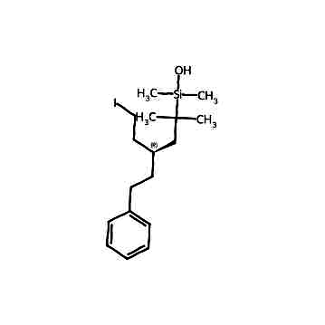 CC(C)(C[C@H](CCI)CCc1ccccc1)[Si](C)(C)O